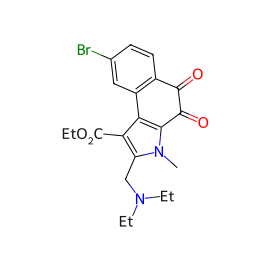 CCOC(=O)c1c2c(n(C)c1CN(CC)CC)C(=O)C(=O)c1ccc(Br)cc1-2